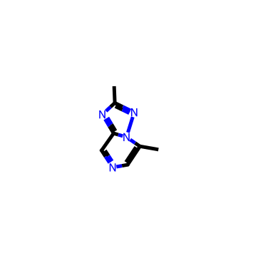 Cc1nc2cncc(C)n2n1